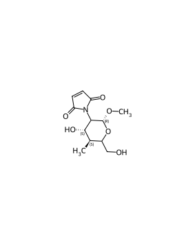 CO[C@@H]1OC(CO)[C@@H](C)[C@H](O)C1N1C(=O)C=CC1=O